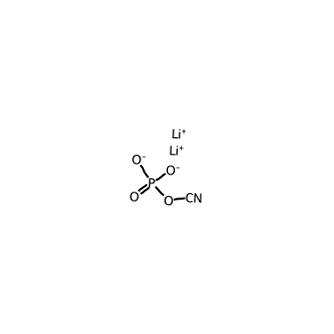 N#COP(=O)([O-])[O-].[Li+].[Li+]